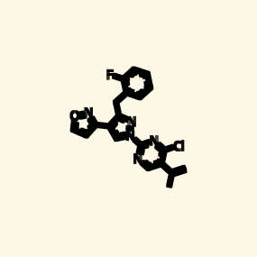 C=C(C)c1cnc(-n2cc(-c3ccon3)c(Cc3ccccc3F)n2)nc1Cl